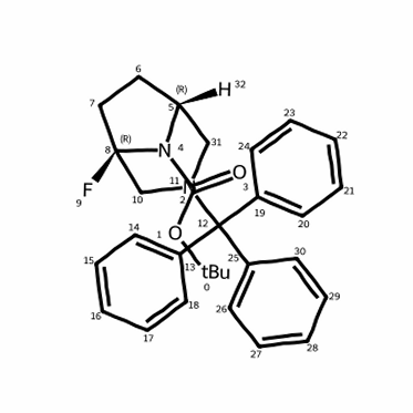 CC(C)(C)OC(=O)N1[C@@H]2CC[C@@]1(F)CN(C(c1ccccc1)(c1ccccc1)c1ccccc1)C2